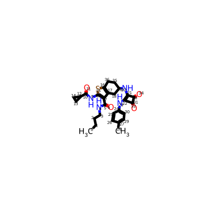 CCCCNC(=O)c1c(NC(=O)C2CC2)sc2c1CC(Nc1c(Nc3ccc(C)cc3)c(=O)c1=O)CC2